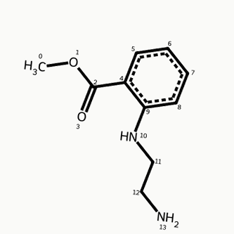 COC(=O)c1ccccc1NCCN